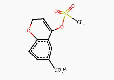 O=C(O)c1ccc2c(c1)C(OS(=O)(=O)C(F)(F)F)=CCO2